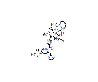 CC(=O)O[C@H](C[C@H](C(C)C)N(C)C(=O)[C@H](CC1CC1)NC(=O)[C@H]1CCCCN1C)c1nc(C(=O)N[C@@H](Cc2ncccn2)C[C@H](C)C(=O)O)cs1